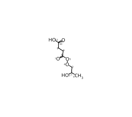 CC(O)COOC(=O)CCC(=O)O